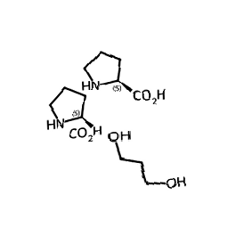 O=C(O)[C@@H]1CCCN1.O=C(O)[C@@H]1CCCN1.OCCCO